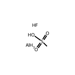 CS(=O)(=O)O.F.[AlH3]